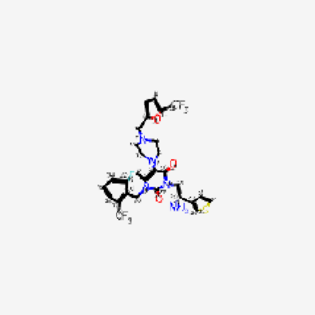 Cc1c(N2CCN(Cc3ccc(C(F)(F)F)o3)CC2)c(=O)n(C[C@@H](N)c2ccsc2)c(=O)n1Cc1c(F)cccc1C(F)(F)F